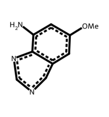 COc1cc(N)c2ncncc2c1